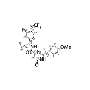 COc1ccc(C(C)(C)c2nc(C(=O)NC(c3ccc(SC(F)(F)F)c(F)c3)C3CC3)cc(=O)[nH]2)cc1